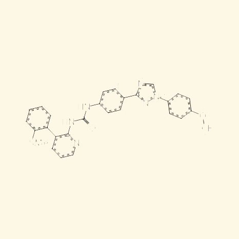 CSc1ccccc1-c1cccnc1NC(=O)Nc1ccc(-c2ncn(-c3ccc(OC(F)(F)F)cc3)n2)cc1